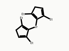 CCC1=CCC(CC)=[C]1[Zr][C]1=C(CC)CC=C1CC